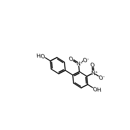 O=[N+]([O-])c1c(O)ccc(-c2ccc(O)cc2)c1[N+](=O)[O-]